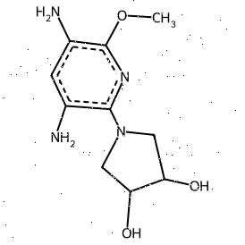 COc1nc(N2CC(O)C(O)C2)c(N)cc1N